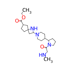 CCOC(=O)C1CCC2(C1)CC(N1CCC(C3CCCN3C(=O)CNC)CC1)N2